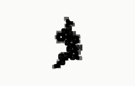 C=CCOC(=O)CNC(=O)C(=O)C(CCC)NC(=O)[C@@H]1CCCN1C(=O)[C@@H](NC(=O)OCC(C)C)C1CCCCC1